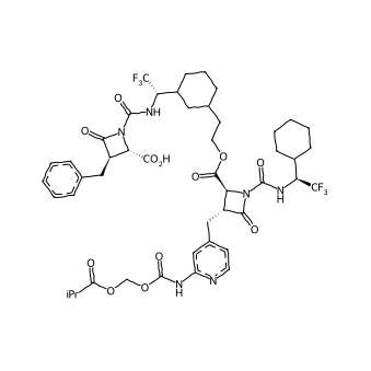 CC(C)C(=O)OCOC(=O)Nc1cc(C[C@H]2C(=O)N(C(=O)N[C@@H](C3CCCCC3)C(F)(F)F)[C@@H]2C(=O)OCCC2CCCC([C@H](NC(=O)N3C(=O)[C@H](Cc4ccccc4)[C@H]3C(=O)O)C(F)(F)F)C2)ccn1